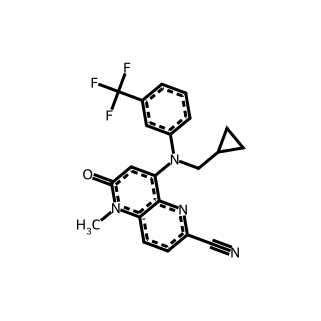 Cn1c(=O)cc(N(CC2CC2)c2cccc(C(F)(F)F)c2)c2nc(C#N)ccc21